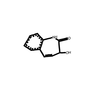 O=C1Nc2ccccc2C=CC1O